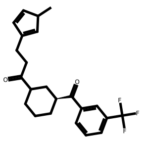 CC1C=CC(CCC(=O)C2CCC[C@H](C(=O)c3cccc(C(F)(F)F)c3)C2)=C1